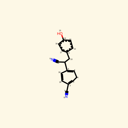 N#CC1=CCC=C(C(C#N)Cc2ccc(O)cc2)C=C1